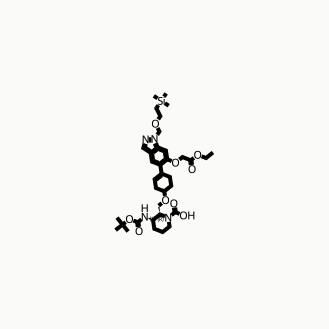 CCOC(=O)COc1cc2c(cnn2COCC[Si](C)(C)C)cc1C1=CCC(OC[C@H]2[C@@H](NC(=O)OC(C)(C)C)CCCN2C(=O)O)CC1